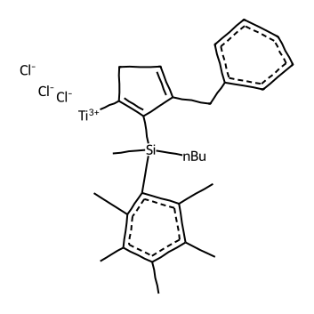 CCCC[Si](C)(C1=[C]([Ti+3])CC=C1Cc1ccccc1)c1c(C)c(C)c(C)c(C)c1C.[Cl-].[Cl-].[Cl-]